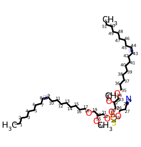 CCCCCCCC/C=C\CCCCCCCCOCC(COP(=S)(OCCC#N)OCC(COCCCCCCCC/C=C\CCCCCCCC)OC)OC